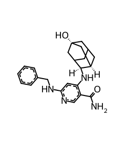 NC(=O)c1cnc(NCc2ccccc2)cc1N[C@H]1C2CC3C[C@@H]1C[C@](O)(C3)C2